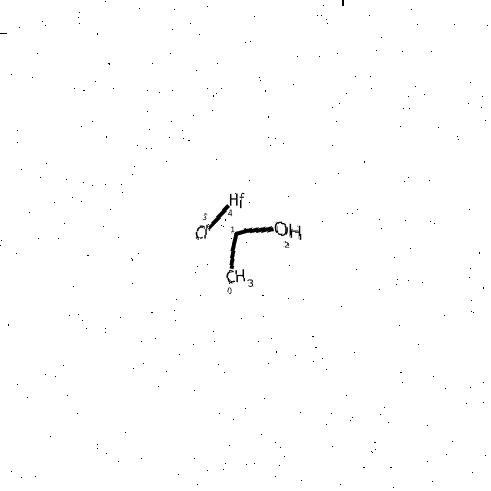 CCO.[Cl][Hf]